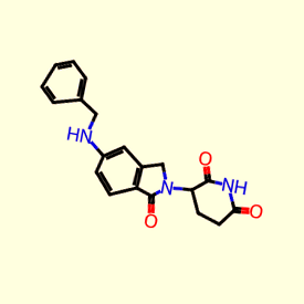 O=C1CCC(N2Cc3cc(NCc4ccccc4)ccc3C2=O)C(=O)N1